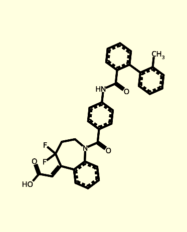 Cc1ccccc1-c1ccccc1C(=O)Nc1ccc(C(=O)N2CCC(F)(F)/C(=C\C(=O)O)c3ccccc32)cc1